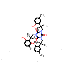 Cc1ccc(O)c(C(C)(C)Cn2c(=O)n(CC(C)(C)c3cc(C)ccc3O)c(=O)n(CC(C)(C)c3cc(C)ccc3O)c2=O)c1